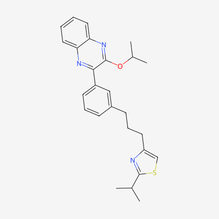 CC(C)Oc1nc2ccccc2nc1-c1cccc(CCCc2csc(C(C)C)n2)c1